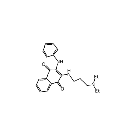 CCN(CC)CCCNC1=C(Nc2ccccc2)C(=O)c2ccccc2C1=O